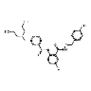 O=C(Nc1ccc(Cl)cc1C(=O)N/N=C/c1ccc(O)cc1)c1cccc(CN(CCO)CCO)c1